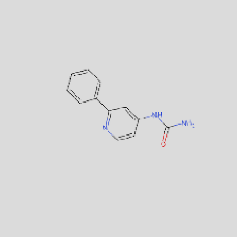 NC(=O)Nc1ccnc(-c2ccccc2)c1